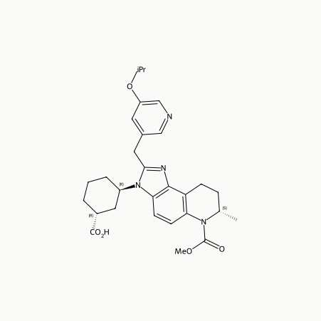 COC(=O)N1c2ccc3c(nc(Cc4cncc(OC(C)C)c4)n3[C@@H]3CCC[C@@H](C(=O)O)C3)c2CC[C@@H]1C